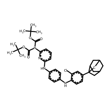 CC(C)(C)OC(=O)N(C(=O)OC(C)(C)C)c1cccc(Nc2ccc(Nc3ccc(C45CC6CC(CC4C6)C5)cc3Cl)cc2)n1